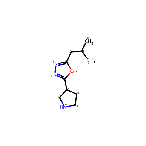 CC(C)Cc1nnc(C2CCNC2)o1